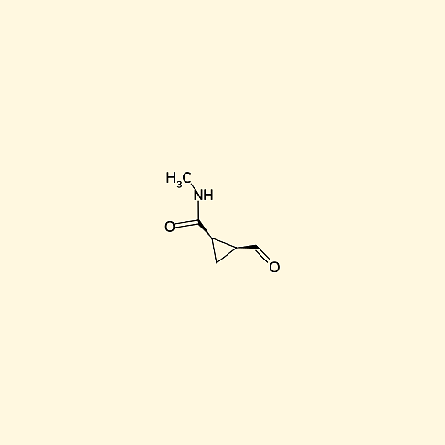 CNC(=O)[C@@H]1C[C@@H]1C=O